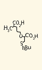 CCCCSCC(OCCCC(C)C(=O)O)C(=O)O